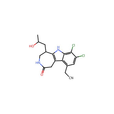 CC(O)CC1CNC(=O)Cc2c1[nH]c1c(Cl)c(Cl)cc(CC#N)c21